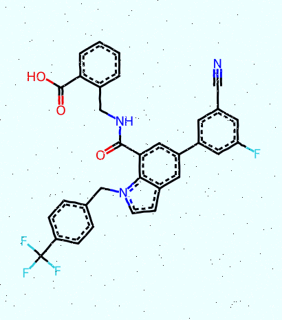 N#Cc1cc(F)cc(-c2cc(C(=O)NCc3ccccc3C(=O)O)c3c(ccn3Cc3ccc(C(F)(F)F)cc3)c2)c1